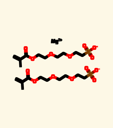 C=C(C)C(=O)OCCOCCOCCS(=O)(=O)[O-].C=C(C)C(=O)OCCOCCOCCS(=O)(=O)[O-].[Mg+2]